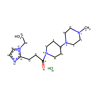 CN1CCN(C2CCN(C(=O)CCc3nccn3CC(=O)O)CC2)CC1.Cl